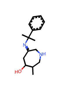 CC1CNC/C(=N\C(C)(C)c2ccccc2)CC1O